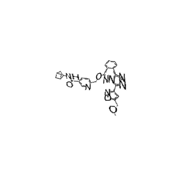 COCc1cc(-c2nnc3c4ccccc4c(OCc4ccc(C(=O)NC5CC6CC5C6)cn4)nn23)no1